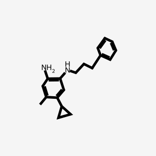 Cc1cc(N)c(NCCCc2ccccc2)cc1C1CC1